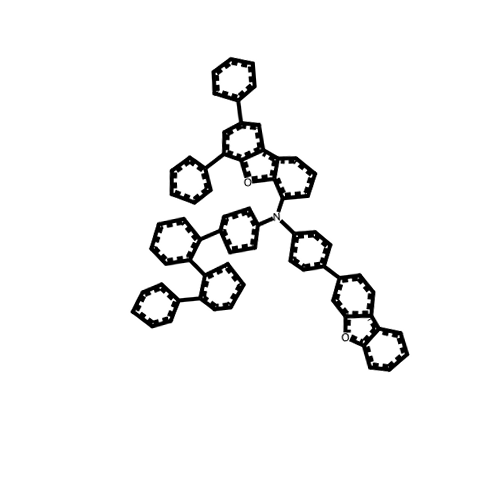 c1ccc(-c2cc(-c3ccccc3)c3oc4c(N(c5ccc(-c6ccc7c(c6)oc6ccccc67)cc5)c5ccc(-c6ccccc6-c6ccccc6-c6ccccc6)cc5)cccc4c3c2)cc1